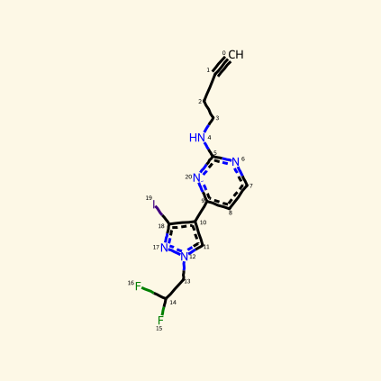 C#CCCNc1nccc(-c2cn(CC(F)F)nc2I)n1